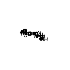 N#CCC1(n2cc(-c3ncnc4[nH]ccc34)cn2)CN(C2CCN(C(=O)c3cccc4cccnc34)CC2)C1